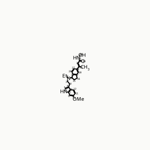 CCN(CCc1c[nH]c2cc(OC)ccc12)C1CCc2cc(/C(C)=C/C(=O)NO)ccc21